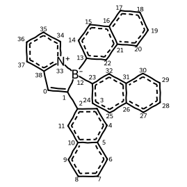 C1=C(c2ccc3ccccc3c2)[B-](c2ccc3ccccc3c2)(c2ccc3ccccc3c2)[n+]2ccccc21